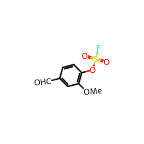 COc1cc(C=O)ccc1OS(=O)(=O)F